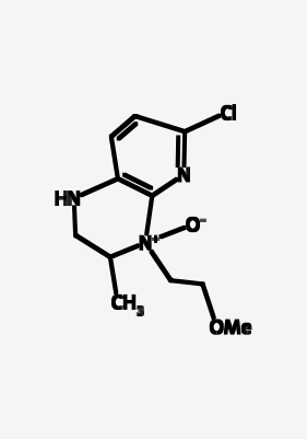 COCC[N+]1([O-])c2nc(Cl)ccc2NCC1C